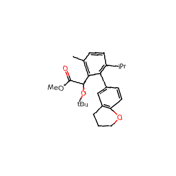 COC(=O)C(OC(C)(C)C)c1c(C)ccc(C(C)C)c1-c1ccc2c(c1)CCCO2